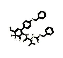 C[CH]C1=CC(c2ccc(OCc3ccccc3)cc2)=C(NC(=O)[C@@H](NC(=O)OCc2ccccc2)C(C)C)C(=O)C1(F)F